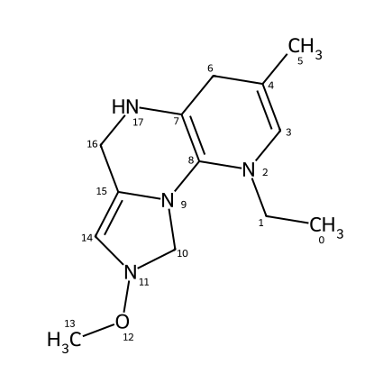 CCN1C=C(C)CC2=C1N1CN(OC)C=C1CN2